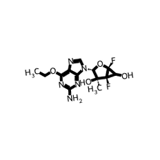 CCOc1nc(N)nc2c1ncn2[C@@H]1O[C@]2(F)C(O)[C@]2(F)[C@@]1(C)O